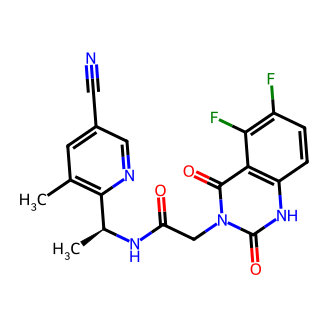 Cc1cc(C#N)cnc1[C@H](C)NC(=O)Cn1c(=O)[nH]c2ccc(F)c(F)c2c1=O